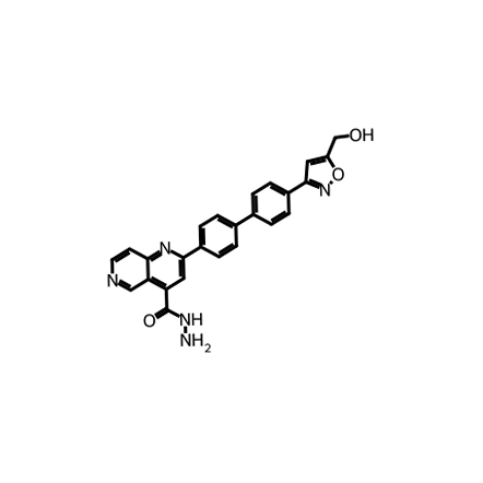 NNC(=O)c1cc(-c2ccc(-c3ccc(-c4cc(CO)on4)cc3)cc2)nc2ccncc12